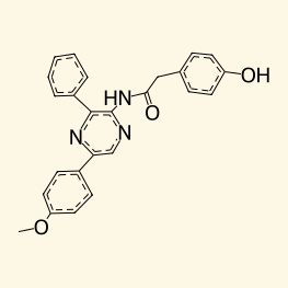 COc1ccc(-c2cnc(NC(=O)Cc3ccc(O)cc3)c(-c3ccccc3)n2)cc1